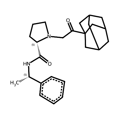 C[C@H](NC(=O)[C@@H]1CCCN1CC(=O)C12CC3CC(CC(C3)C1)C2)c1ccccc1